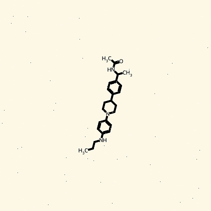 CCCNc1ccc(N2CCC(c3ccc(C(C)NC(C)=O)cc3)CC2)cc1